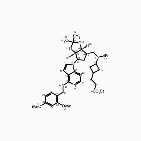 CCOC(=O)CCC1CC(N(C[C@H]2C[C@@H](n3ccc4c(NCc5ccc(OC)cc5OC)ncnc43)[C@@H]3OC(C)(C)O[C@H]23)C(C)C)C1